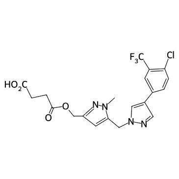 Cn1nc(COC(=O)CCC(=O)O)cc1Cn1cc(-c2ccc(Cl)c(C(F)(F)F)c2)cn1